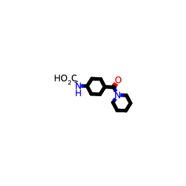 O=C(O)NC1CCC(C(=O)N2CCCCC2)CC1